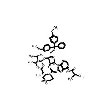 COc1ccc(C(OC[C@H]2O[C@@H](n3cnc4c(NC(=O)C(C)C)ncnc43)C(OC(=S)N3CCS(=O)(=O)CC3)C2OP(OCCN)N(C(C)C)C(C)C)(c2ccccc2)c2ccc(OC)cc2)cc1